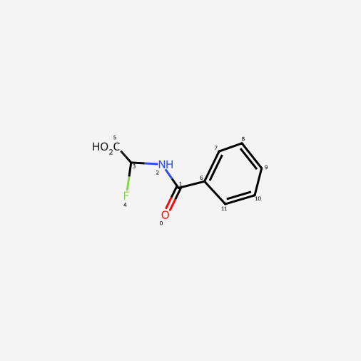 O=C(NC(F)C(=O)O)c1ccccc1